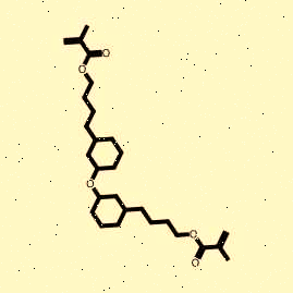 C=C(C)C(=O)OCCCCC1CCCC(OC2CCCC(CCCCOC(=O)C(=C)C)C2)C1